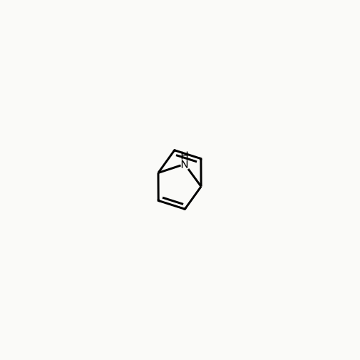 C1=CC2C=CC1N2